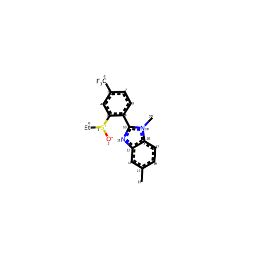 CC[S+]([O-])c1cc(C(F)(F)F)ccc1-c1nc2cc(C)ccc2n1C